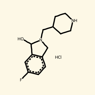 Cl.OC1c2cc(F)ccc2CN1CC1CCNCC1